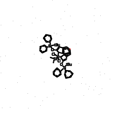 C[SiH](C)[Zr]([Cl])([Cl])([CH]1C(O[Si](c2ccccc2)(c2ccccc2)C(C)(C)C)=Cc2ccccc21)[CH]1C(O[Si](c2ccccc2)(c2ccccc2)C(C)(C)C)=Cc2ccccc21